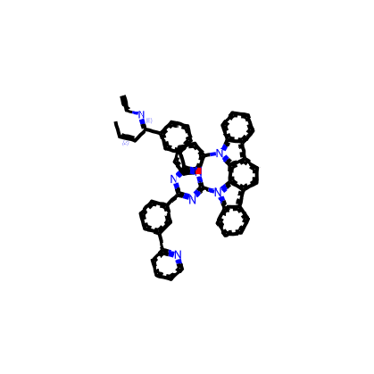 C=C/N=C(\C=C/C)c1cccc(-c2nc(-c3cccc(-c4ccccn4)c3)nc(-n3c4ccccc4c4ccc5c6ccccc6n(-c6ccccc6)c5c43)n2)c1